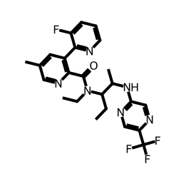 CCC(C(C)Nc1cnc(C(F)(F)F)cn1)N(CC)C(=O)c1ncc(C)cc1-c1ncccc1F